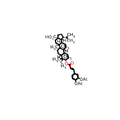 C=C(C)[C@@H]1CC[C@]2(C(=O)O)CC[C@]3(C)[C@H](CC[C@@H]4[C@@]5(C)CC[C@H](OC(=O)/C=C/c6ccc(OC(C)=O)c(OC(C)=O)c6)C(C)(C)[C@@H]5CC[C@]43C)[C@@H]12